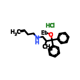 C=CCCNCC(C)C(OCC)(c1ccccc1)c1ccccc1.Cl